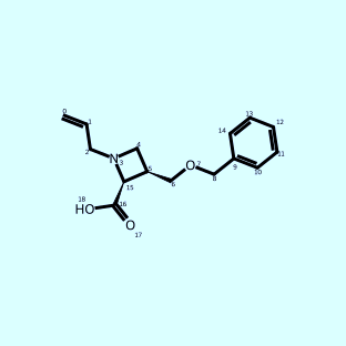 C=CCN1C[C@@H](COCc2ccccc2)[C@H]1C(=O)O